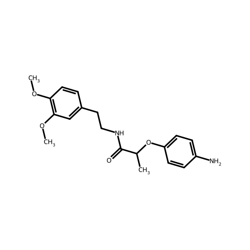 COc1ccc(CCNC(=O)C(C)Oc2ccc(N)cc2)cc1OC